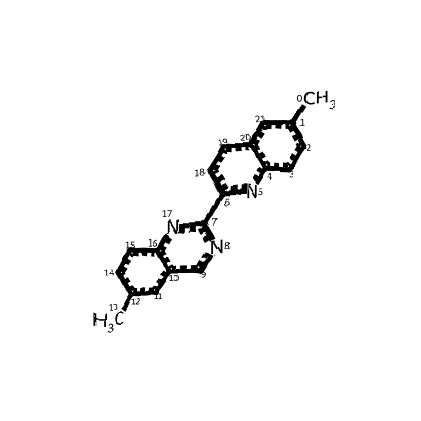 Cc1ccc2nc(-c3ncc4cc(C)ccc4n3)ccc2c1